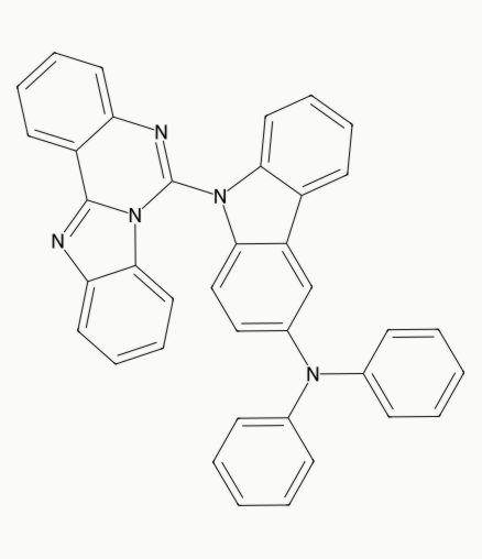 c1ccc(N(c2ccccc2)c2ccc3c(c2)c2ccccc2n3-c2nc3ccccc3c3nc4ccccc4n23)cc1